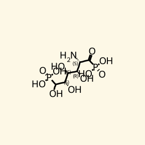 N[C@H](C(=O)P(=O)(O)O)[C@@H](O)[C@H](O)[C@H](O)C(O)P(=O)(O)O